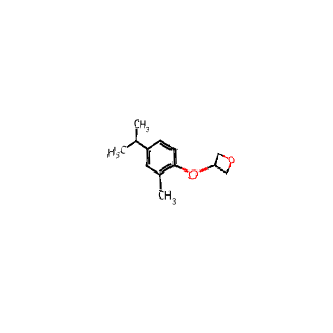 Cc1cc(C(C)C)ccc1OC1COC1